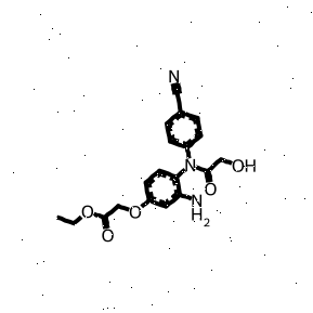 CCOC(=O)COc1ccc(N(C(=O)CO)c2ccc(C#N)cc2)c(N)c1